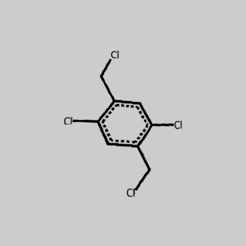 ClCc1cc(Cl)c(CCl)cc1Cl